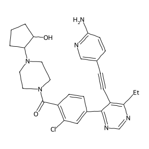 CCc1ncnc(-c2ccc(C(=O)N3CCN(C4CCCC4O)CC3)c(Cl)c2)c1C#Cc1ccc(N)nc1